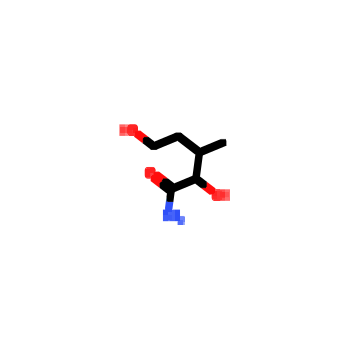 CC(CCO)C(O)C(N)=O